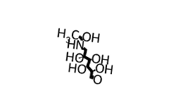 CC(O)NC[C@@H](O)[C@@H](O)[C@H](O)[C@@H](O)C=O